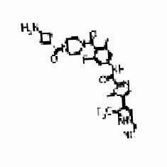 Cc1cc(NC(=O)c2ncc(-c3cn(CC#N)nc3C(F)(F)F)n2C)cc(F)c1C(=O)N1CCN(C(=O)[C@H]2C[C@H](N)C2)CC1